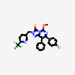 COc1nc(-c2ccc(Cl)cc2)c(-c2ccccc2)c2nn(Cc3ccc(C(F)(F)F)nc3)c(=O)n12